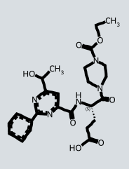 CCOC(=O)N1CCN(C(=O)[C@H](CCC(=O)O)NC(=O)c2cc(C(C)O)nc(-c3ccccc3)n2)CC1